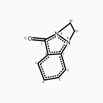 O=c1c2ccccc2n2n1CC2